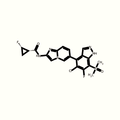 CP(C)(=O)c1c(F)c(Cl)c(-c2ccc3nc(NC(=O)[C@@H]4C[C@@H]4F)cn3c2)c2cn[nH]c12